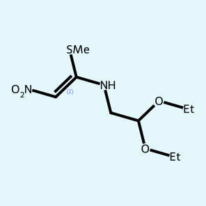 CCOC(CN/C(=C/[N+](=O)[O-])SC)OCC